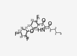 CCCCC(=O)C(=N)C(=O)c1cc(Oc2ccc(F)cc2F)ccc1F